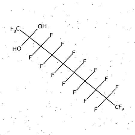 OC(O)(C(F)(F)F)C(F)(F)C(F)(F)C(F)(F)C(F)(F)C(F)(F)C(F)(F)C(F)(F)C(F)(F)F